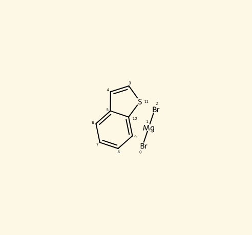 [Br][Mg][Br].[c]1cc2ccccc2s1